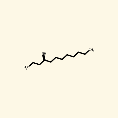 CCCCCCCCC(=N)CCC